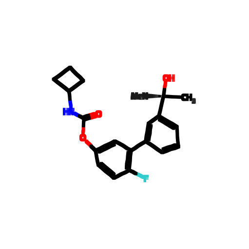 CN[C@@](C)(O)c1cccc(-c2cc(OC(=O)NC3CCC3)ccc2F)c1